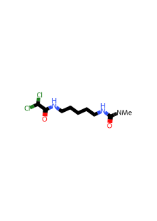 CNC(=O)NCCCCCNC(=O)C(Cl)Cl